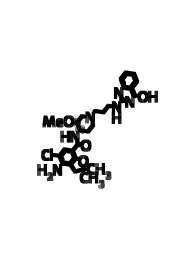 CO[C@H]1CN(CCCNc2nc(O)c3ccccc3n2)CC[C@H]1NC(=O)c1cc(Cl)c(N)c2c1OC(C)(C)C2